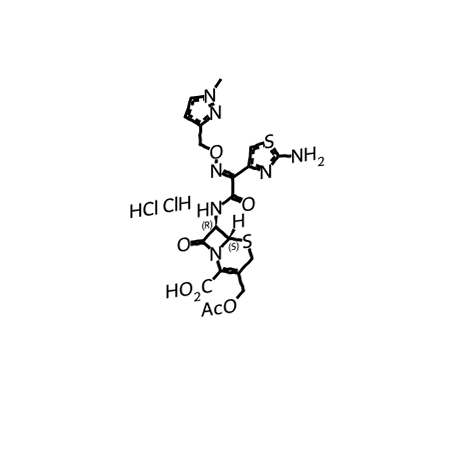 CC(=O)OCC1=C(C(=O)O)N2C(=O)[C@@H](NC(=O)C(=NOCc3ccn(C)n3)c3csc(N)n3)[C@@H]2SC1.Cl.Cl